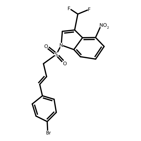 O=[N+]([O-])c1cccc2c1c(C(F)F)cn2S(=O)(=O)CC=Cc1ccc(Br)cc1